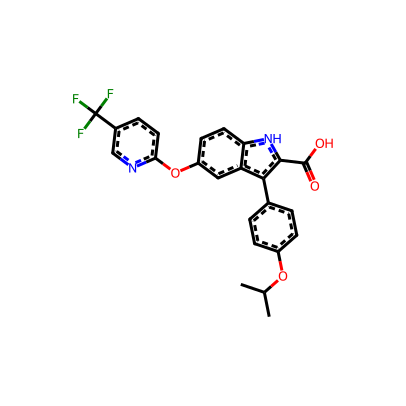 CC(C)Oc1ccc(-c2c(C(=O)O)[nH]c3ccc(Oc4ccc(C(F)(F)F)cn4)cc23)cc1